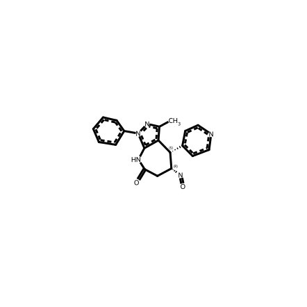 Cc1nn(-c2ccccc2)c2c1[C@H](c1ccncc1)[C@H](N=O)CC(=O)N2